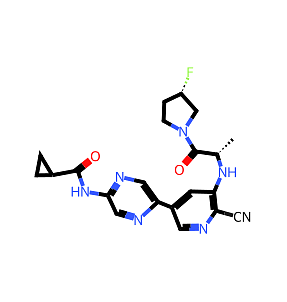 C[C@H](Nc1cc(-c2cnc(NC(=O)C3CC3)cn2)cnc1C#N)C(=O)N1CC[C@H](F)C1